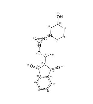 CC(On1on1N1CCCC(O)C1)N1C(=O)c2ccccc2C1=O